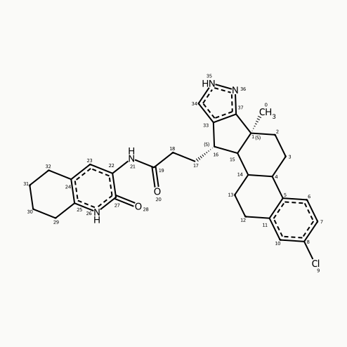 C[C@]12CCC3c4ccc(Cl)cc4CCC3C1[C@H](CCC(=O)Nc1cc3c([nH]c1=O)CCCC3)c1c[nH]nc12